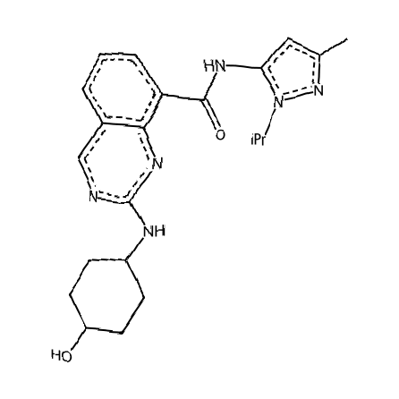 Cc1cc(NC(=O)c2cccc3cnc(NC4CCC(O)CC4)nc23)n(C(C)C)n1